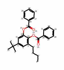 CCCCc1cc(C(C)(C)C)cc(OC(=O)c2ccccc2)c1OC(=O)c1ccccc1